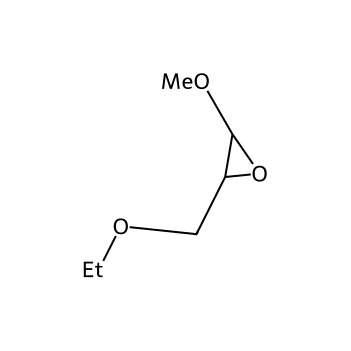 CCOCC1OC1OC